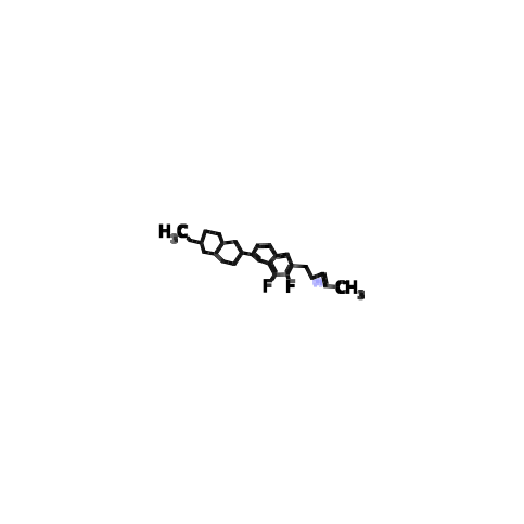 C/C=C/CCc1cc2ccc(C3CCC4CC(CC)CCC4C3)cc2c(F)c1F